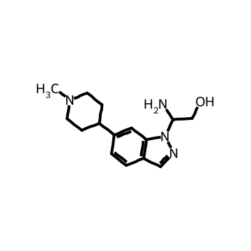 CN1CCC(c2ccc3cnn(C(N)CO)c3c2)CC1